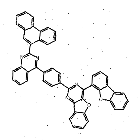 c1ccc2c(c1)cc(-c1nc(-c3ccc(-c4nc(-c5cccc6c5oc5ccccc56)c5oc6ccccc6c5n4)cc3)c3ccccc3n1)c1ccccc12